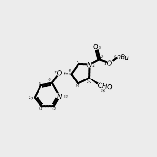 CCCCOC(=O)N1C[C@@H](Oc2ccccn2)C[C@@H]1C=O